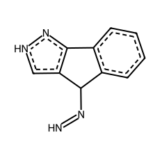 N=NC1c2ccccc2-c2n[nH]cc21